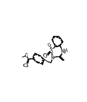 C=C1Nc2ccccc2S(=O)(=O)N1Cc1ccc(C(=O)OC)cc1